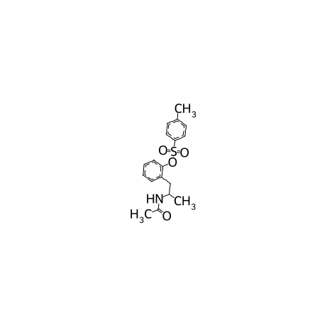 CC(=O)NC(C)Cc1ccccc1OS(=O)(=O)c1ccc(C)cc1